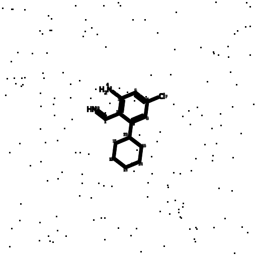 N=Cc1c(N)cc(Cl)cc1C1CCCCC1